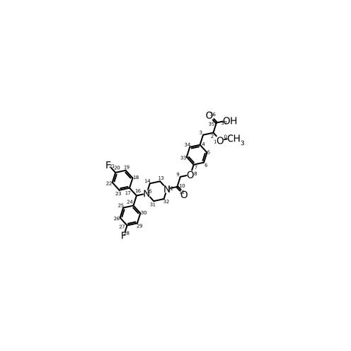 COC(Cc1ccc(OCC(=O)N2CCN(C(c3ccc(F)cc3)c3ccc(F)cc3)CC2)cc1)C(=O)O